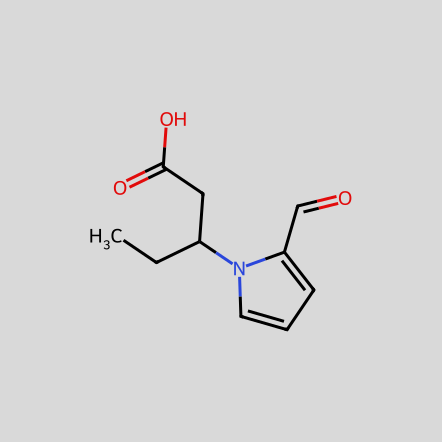 CCC(CC(=O)O)n1cccc1C=O